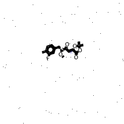 CON(Cc1ccc(C)c(F)c1)C(=O)/C=C1\OC(C)(C)OC1=O